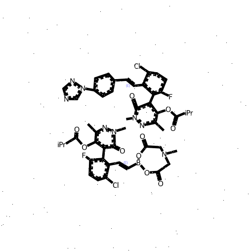 Cc1nn(C)c(=O)c(-c2c(F)ccc(Cl)c2/C=C/B2OC(=O)CN(C)CC(=O)O2)c1OC(=O)C(C)C.Cc1nn(C)c(=O)c(-c2c(F)ccc(Cl)c2/C=C/c2ccc(-n3cncn3)cc2)c1OC(=O)C(C)C